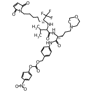 CC(C)C(N[C@H](CCCCCN1C(=O)C=CC1=O)C(F)(F)F)C(=O)N[C@@H](CCCN1CCOCC1)C(=O)Nc1ccc(COC(=O)Oc2ccc([N+](=O)[O-])cc2)cc1